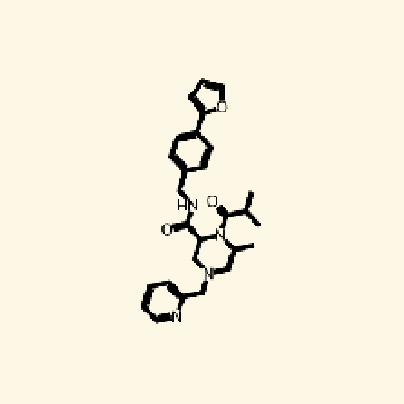 CC(C)C(=O)N1C(C)CN(Cc2ccccn2)CC1C(=O)NCc1ccc(-c2ccco2)cc1